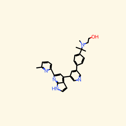 Cc1cccc(-c2cc(-c3cncc(-c4ccc(C(C)(C)N(C)CCO)cc4)c3)c3cc[nH]c3n2)n1